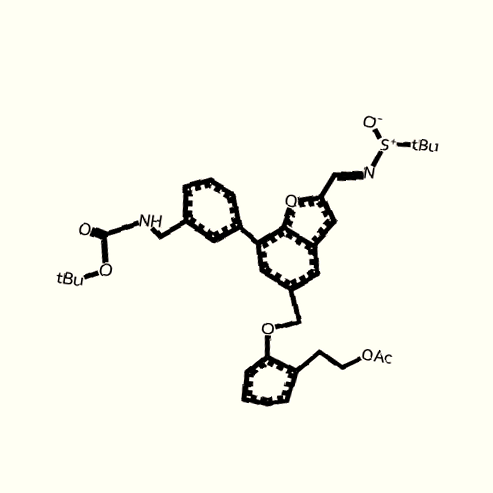 CC(=O)OCCc1ccccc1OCc1cc(-c2cccc(CNC(=O)OC(C)(C)C)c2)c2oc(C=N[S+]([O-])C(C)(C)C)cc2c1